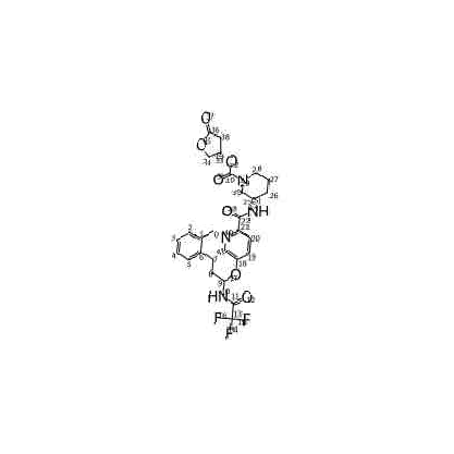 Cc1ccccc1CCC(NC(=O)C(F)(F)F)Oc1ccc(C(=O)N[C@H]2CCCN(C(=O)O[C@@H]3COC(=O)C3)C2)nc1